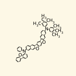 Cc1cc(N(c2cc(C)c(C)c(C)c2)c2ccc3cc4c(cc3c2)oc2cc3oc5cc6cc(N(c7ccccc7)c7cccc8c7oc7ccccc78)ccc6cc5c3cc24)cc(C)c1C